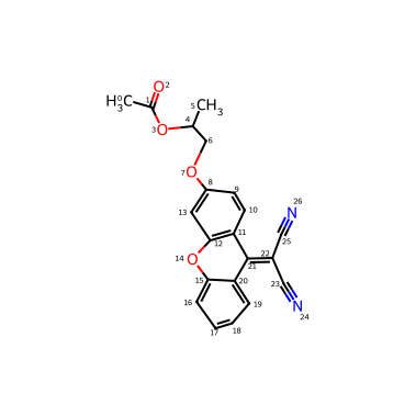 CC(=O)OC(C)COc1ccc2c(c1)Oc1ccccc1C2=C(C#N)C#N